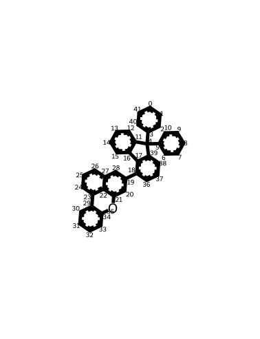 c1ccc(C2(c3ccccc3)c3ccccc3-c3c(-c4cc5c6c(cccc6c4)-c4ccccc4O5)cccc32)cc1